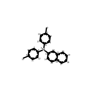 Cc1ccc(N(c2ccc(C)cc2)c2ccc3ccccc3c2)cc1